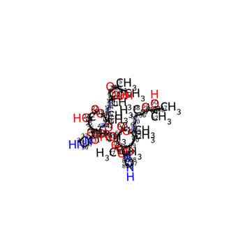 CC[C@@H](O)[C@@H](C)[C@H]1O[C@@H]1C[C@](C)(O)/C=C/C=C(\C)[C@H]1OC(=O)C[C@@H](O)CC[C@](C)(OC(=O)N2CCNCC2)[C@@H](OC(C)=O)/C=C/[C@@H]1C.CC[C@H](O)[C@@H](C)[C@H]1O[C@@H]1CC(C)/C=C/C=C(\C)C1OC(=O)CC(O)CCC(C)(OC(C)=O)C(OC(=O)N2CCNCC2)C=CC1C